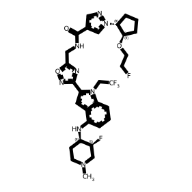 CN1CC[C@@H](Nc2cccc3c2cc(-c2noc(CNC(=O)c4cnn([C@@H]5CCC[C@H]5OCCF)c4)n2)n3CC(F)(F)F)[C@@H](F)C1